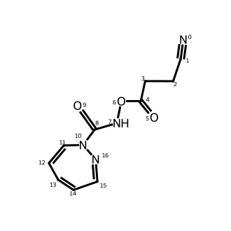 N#CCCC(=O)ONC(=O)N1C=CC=CC=N1